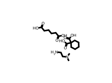 CN(C)CCN.O=C(O)C1(C(=O)O)CCCCC1.O=C(O)CCCCC(=O)O